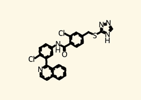 O=C(Nc1ccc(Cl)c(-c2nccc3ccccc23)c1)c1ccc(CSc2nnc[nH]2)cc1Cl